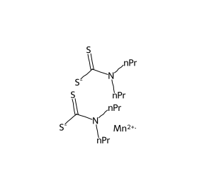 CCCN(CCC)C(=S)[S-].CCCN(CCC)C(=S)[S-].[Mn+2]